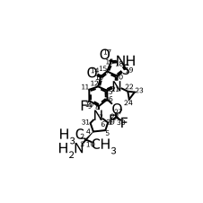 CC(C)(N)[C@@H]1CCN(c2c(F)cc3c(=O)c4c(=O)[nH]sc4n(C4CC4)c3c2OC(F)F)C1